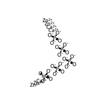 O=P([O-])([O-])[O-].O=P([O-])([O-])[O-].O=P([O-])([O-])[O-].O=P([O-])([O-])[O-].[Ca+2].[Ca+2].[Ca+2].[O]=[Mo](=[O])([O-])[O-].[Zn+2].[Zn+2].[Zn+2].[Zn+2]